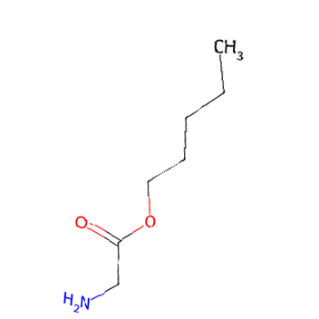 CCCCCOC(=O)CN